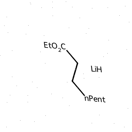 CCCCCCCC(=O)OCC.[LiH]